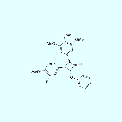 COc1ccc([C@@H]2[C@@H](Oc3ccccc3)C(=O)N2c2cc(OC)c(OC)c(OC)c2)cc1F